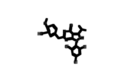 COc1ccc(Cc2nc3n(-c4c(Cl)cc(Cl)cc4Cl)[nH]c(C(C)C)c-3c(=O)n2)cc1O